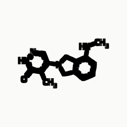 CNc1cccc2c1CN(c1cn[nH]c(=O)c1C)C2